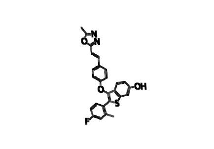 Cc1nnc(C=Cc2ccc(Oc3c(-c4ccc(F)cc4C)sc4cc(O)ccc34)cc2)o1